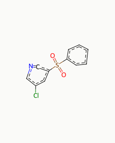 O=S(=O)(c1ccccc1)c1cncc(Cl)c1